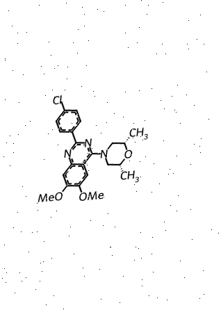 COc1cc2nc(-c3ccc(Cl)cc3)nc(N3C[C@@H](C)O[C@@H](C)C3)c2cc1OC